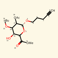 C#CCCCO[C@@H]1OC(C(=O)OC)[C@@H](O)C(OCCCC)C1OC(C)=O